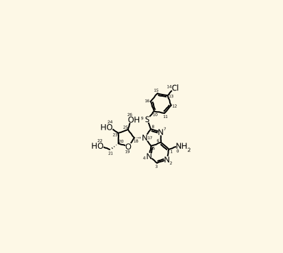 Nc1ncnc2c1nc(Sc1ccc(Cl)cc1)n2[C@@H]1O[C@H](CO)C(O)C1O